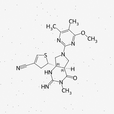 COc1nc(N2C[C@H]3C(=O)N(C)C(=N)N[C@@]3(C3CC(C#N)=CS3)C2)nc(C)c1C